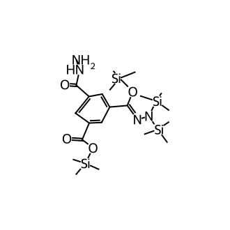 C[Si](C)(C)OC(=O)c1cc(C(=O)NN)cc(C(=NN([Si](C)(C)C)[Si](C)(C)C)O[Si](C)(C)C)c1